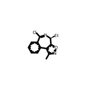 CC[C@@H]1N=C(Cl)c2ccccc2-c2c(C)noc21